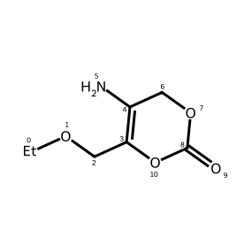 CCOCC1=C(N)COC(=O)O1